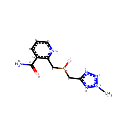 Cn1nnc(C[S+]([O-])Cc2ncccc2C(N)=O)n1